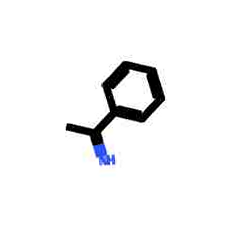 CC(=N)c1[c]cccc1